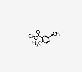 C#Cc1ccc(C)c(C(=O)OCl)c1